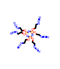 [N-]=[N+]=NCCOP1(OCCN=[N+]=[N-])=NP(OCCN=[N+]=[N-])(OCCN=[N+]=[N-])=NP(OCCN=[N+]=[N-])(OCCN=[N+]=[N-])=N1